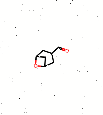 O=CC1CC2CC(C1)O2